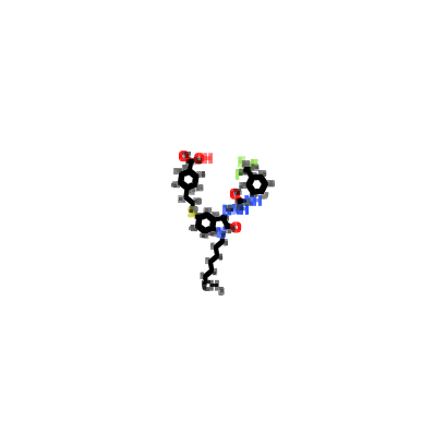 CCCCCCCN1C(=O)C(=NNC(=O)Nc2cccc(C(F)(F)F)c2)c2cc(SCCc3ccc(C(=O)O)cc3)ccc21